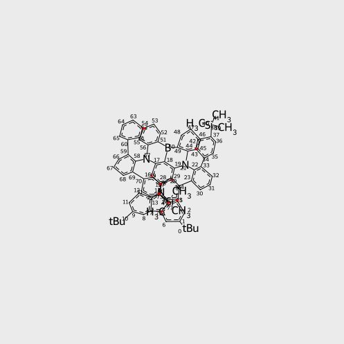 CC(C)(C)c1ccc2c(c1)c1cc(C(C)(C)C)ccc1n2-c1cc2c3c(c1)N(c1c(-c4ccccc4)cccc1-c1ccc([Si](C)(C)C)cc1)c1ccccc1B3c1ccccc1N2c1c(-c2ccccc2)cccc1-c1ccc([Si](C)(C)C)cc1